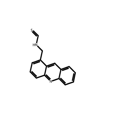 S=CNCc1cccc2nc3ccccc3cc12